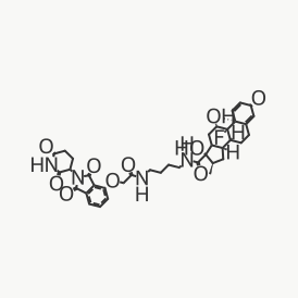 C[C@@H]1C[C@@H]2C(C[C@H](O)[C@@]3(F)[C@H]2CCC2=CC(=O)C=C[C@@]23C)[C@@]1(O)C(=O)NCCCCNC(=O)COc1cccc2c1C(=O)N(C1CCC(=O)NC1=O)C2=O